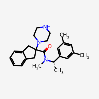 Cc1cc(C)cc([C@H](C)N(C)C(=O)C2(N3CCNCC3)Cc3ccccc3C2)c1